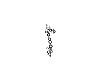 C=C1CCC(N2C(=O)c3ccc(N4CCC5(CCN(c6ccc(Nc7nc(-c8nccs8)cnc7C(N)=O)cc6)CC5)CC4)cc3C2=O)C(=O)N1